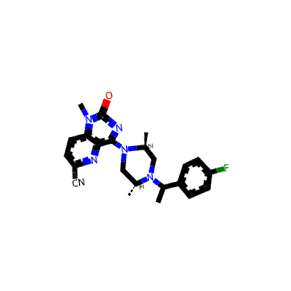 CC(c1ccc(F)cc1)N1C[C@H](C)N(c2nc(=O)n(C)c3ccc(C#N)nc23)C[C@H]1C